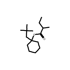 CCC(C)C(=O)OC1(CC(C)(C)C)CCCCC1